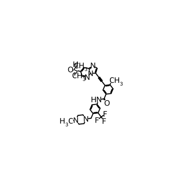 Cc1ccc(C(=O)Nc2ccc(CN3CCN(C)CC3)c(C(F)(F)F)c2)cc1C#Cc1cnc2cc([SH](C)(C)=O)cnn12